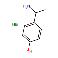 Br.CC(N)c1ccc(O)cc1